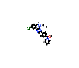 CN(Cc1ccc(Cl)cc1)c1cncc(-c2ccc(C(=O)N3CCCCC3)cc2)n1